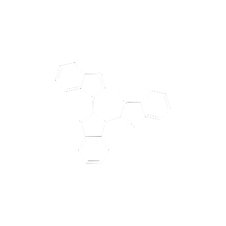 Cn1c(-n2c(-n3cnc4ccccc43)nc3ccccc32)nc2ccccc21